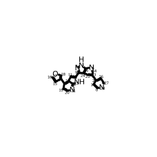 c1cc(-c2cnc3[nH]nc(-c4cc5c(-c6ccoc6)ccnc5[nH]4)c3c2)ccn1